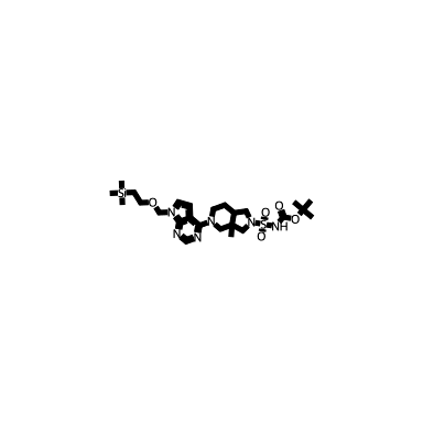 CC(C)(C)OC(=O)NS(=O)(=O)N1CC2CCN(c3ncnc4c3ccn4COCC[Si](C)(C)C)CC2(C)C1